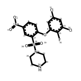 O=[N+]([O-])c1ccc(Oc2cc(Cl)cc(Cl)c2F)c(S(=O)(=O)N2CCNCC2)c1